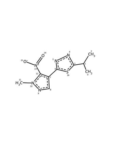 CC(C)c1nnc(-c2cnn(C)c2[N+](=O)[O-])s1